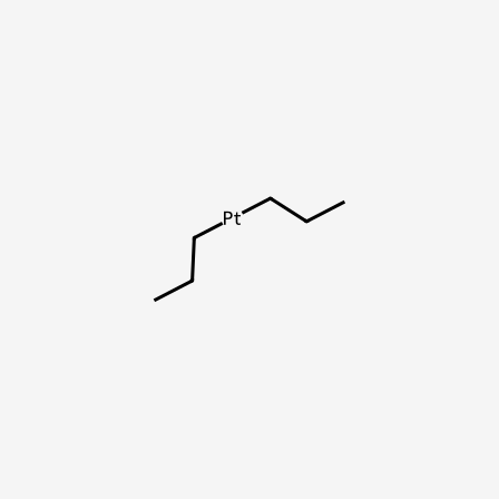 CC[CH2][Pt][CH2]CC